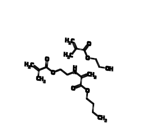 C=C(C)C(=O)OCCNC(=C)C(=O)OCCCC.C=C(C)C(=O)OCCO